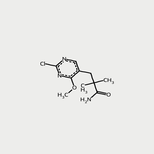 COc1nc(Cl)ncc1CC(C)(C)C(N)=O